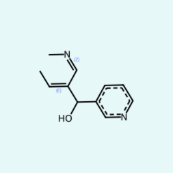 C/C=C(\C=N/C)C(O)c1cccnc1